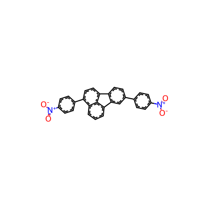 O=[N+]([O-])c1ccc(-c2ccc3c(c2)-c2cccc4c(-c5ccc([N+](=O)[O-])cc5)ccc-3c24)cc1